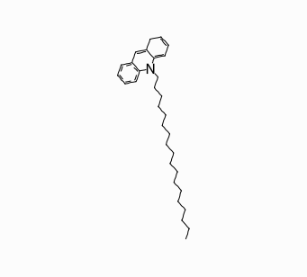 CCCCCCCCCCCCCCCCCCN1C2=CC=CCC2=Cc2ccccc21